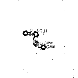 COc1ccc(CN2CCN(Cc3ccc(C(=O)O)cc3NC(=O)c3ccccc3)CC2)c(OC)c1OC